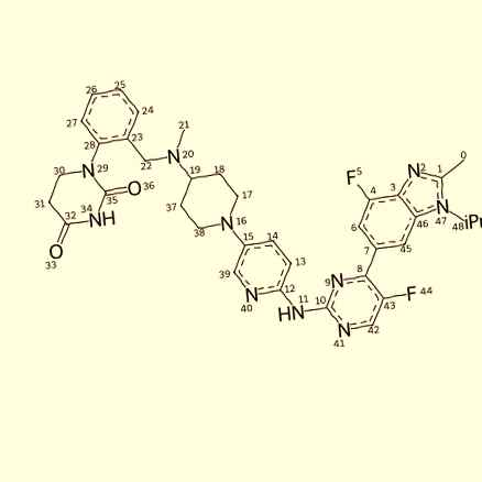 Cc1nc2c(F)cc(-c3nc(Nc4ccc(N5CCC(N(C)Cc6ccccc6N6CCC(=O)NC6=O)CC5)cn4)ncc3F)cc2n1C(C)C